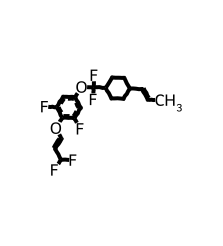 C/C=C/C1CCC(C(F)(F)Oc2cc(F)c(O/C=C/C(F)F)c(F)c2)CC1